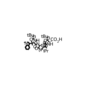 C/C(=C\[C@H](C(C)C)N(C)C(=O)C(NC(=O)[C@@H](N(C)C(=O)OC(C)(C)C)C(C)(C)c1cn(C)c2ccccc12)C(C)(C)C)C(=O)N[C@@H](CC(=O)O)C(=O)OC(C)(C)C